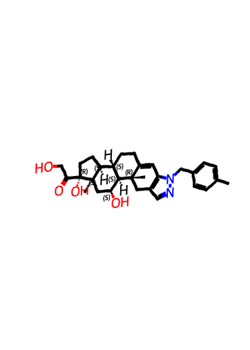 Cc1ccc(Cn2ncc3c2C=C2CC[C@@H]4[C@H]([C@@H](O)C[C@@]5(C)[C@H]4CC[C@]5(O)C(=O)CO)[C@@]2(C)C3)cc1